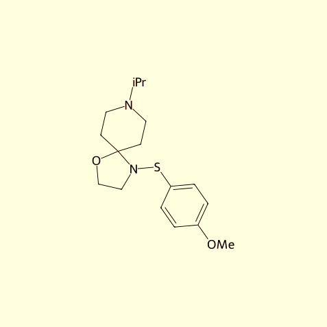 COc1ccc(SN2CCOC23CCN(C(C)C)CC3)cc1